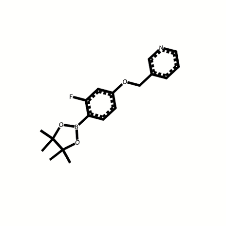 CC1(C)OB(c2ccc(OCc3cccnc3)cc2F)OC1(C)C